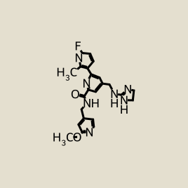 COc1cc(CNC(=O)c2cc(CNC3=NCCN3)cc(-c3ccc(F)nc3C)n2)ccn1